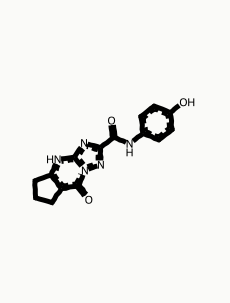 O=C(Nc1ccc(O)cc1)c1nc2[nH]c3c(c(=O)n2n1)CCC3